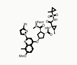 CCCCCN(C)C(=O)[C@@H]1C[C@H](Oc2cc(-n3ccc(C(C)C)n3)nc3c(C)c(OC)ccc23)C[C@H]1C(=O)N[C@]1(C(=O)NS(=O)(=O)C2(C)CC2)C[C@H]1C